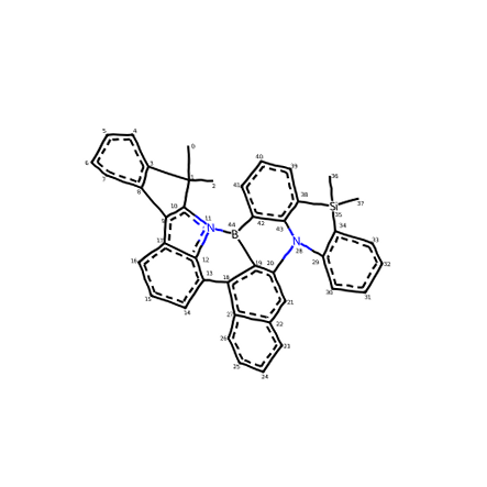 CC1(C)c2ccccc2-c2c1n1c3c(cccc23)-c2c3c(cc4ccccc24)N2c4ccccc4[Si](C)(C)c4cccc(c42)B31